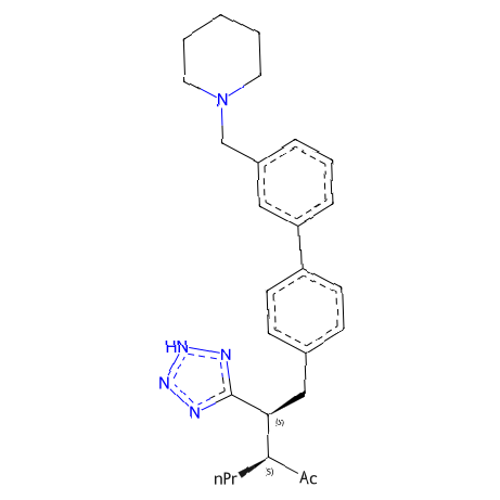 CCC[C@H](C(C)=O)[C@H](Cc1ccc(-c2cccc(CN3CCCCC3)c2)cc1)c1nn[nH]n1